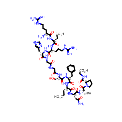 CC[C@H](C)[C@H](NC(=O)[C@H](CC(N)=O)NC(=O)[C@H](CCC(=O)O)NC(=O)[C@H](Cc1ccccc1)NC(=O)[C@H](CO)NC(=O)CNC(=O)CNC(=O)[C@H](Cc1c[nH]cn1)NC(=O)[C@H](CCCNC(=N)N)NC(=O)[C@H](CC(=O)O)NC(=O)[C@@H](N)CCCNC(=N)N)C(=O)N1CCC[C@H]1C(=O)NCC(=O)O